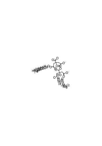 O.O.O.O.O.O.O.O.O.O.O.O.O=C([O-])CC(O)(CC(=O)[O-])C(=O)[O-].O=C([O-])CC(O)(CC(=O)[O-])C(=O)[O-].[Mg+2].[Mg+2].[Mg+2]